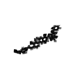 COC1CN(CCc2ccc(-c3cc4ncn(CC[C@](C)(C(=O)NOC5CCCCO5)S(C)(=O)=O)c(=O)c4cc3F)c(F)c2F)C1